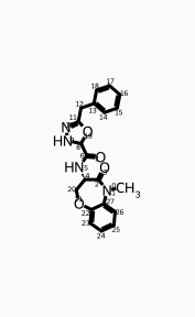 CN1C(=O)[C@@H](NC(=O)C2NN=C(Cc3ccccc3)O2)COc2ccccc21